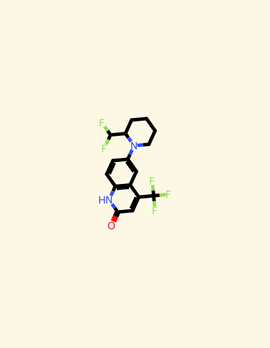 O=c1cc(C(F)(F)F)c2cc(N3CCCCC3C(F)F)ccc2[nH]1